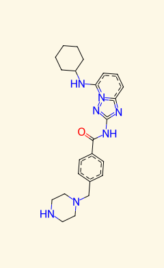 O=C(Nc1nc2cccc(NC3CCCCC3)n2n1)c1ccc(CN2CCNCC2)cc1